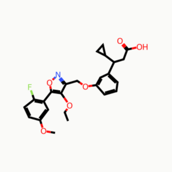 CCOc1c(COc2cccc(C(CC(=O)O)C3CC3)c2)noc1-c1cc(OC)ccc1F